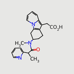 CC(C(=O)N(C)[C@@H]1CCc2c(CC(=O)O)c3ccccn3c2C1)c1ccccn1